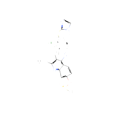 COc1nc2cc(OS(=O)(=O)C(F)(F)F)ccc2c(N[14c]2[14cH][14cH][14c](Sc3nccn3C)[14c](Cl)[14cH]2)c1C#N